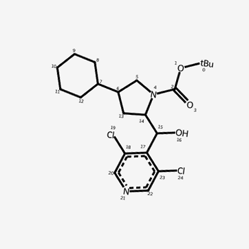 CC(C)(C)OC(=O)N1CC(C2CCCCC2)CC1C(O)c1c(Cl)cncc1Cl